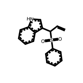 C=CC(c1c[nH]c2ccccc12)S(=O)(=O)c1ccccc1